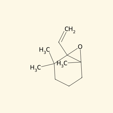 C=CC12OC1(C)CCCC2(C)C